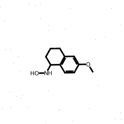 COc1ccc2c(c1)CCCC2NO